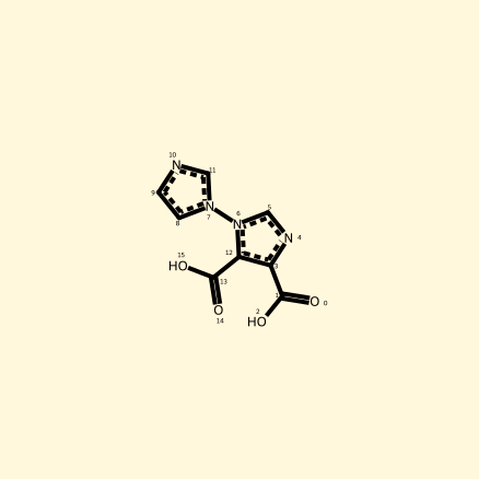 O=C(O)c1ncn(-n2ccnc2)c1C(=O)O